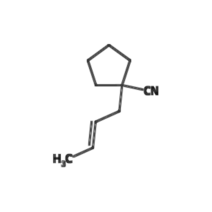 CC=CCC1(C#N)CCCC1